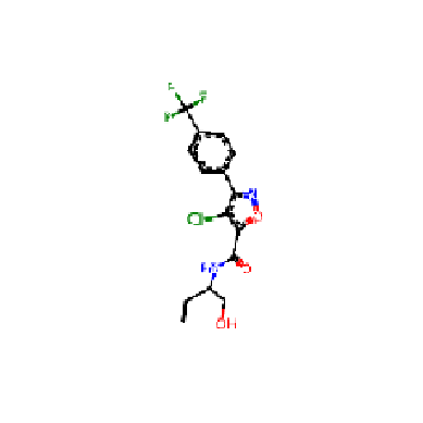 CCC(CO)NC(=O)c1onc(-c2ccc(C(F)(F)F)cc2)c1Cl